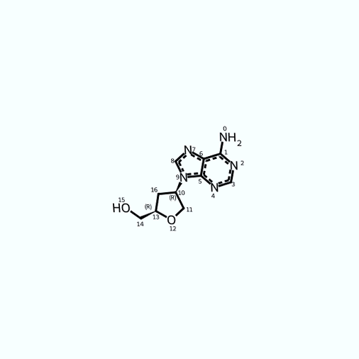 Nc1ncnc2c1ncn2[C@H]1CO[C@@H](CO)C1